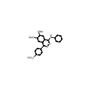 CCOC(=O)c1ccc(-c2nnc(Nc3ccccc3)c3cc(OC)c(OC)cc23)cc1